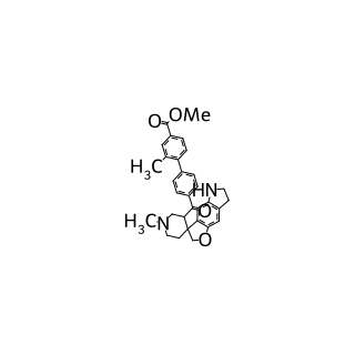 COC(=O)c1ccc(-c2ccc(C(=O)C3CN(C)CCC34COc3cc5c(cc34)NCC5)cc2)c(C)c1